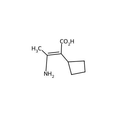 CC(N)=C(C(=O)O)C1CCC1